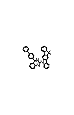 CC1(C)c2ccccc2-c2cc3c(cc21)c1ccccc1n3-c1nc(-c2ccc(-c3ccccc3)cc2)c2ccccc2n1